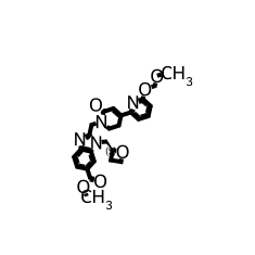 COCOc1cccc(C2=CC(=O)N(Cc3nc4ccc(C(=O)OC)cc4n3C[C@@H]3CCO3)CC2)n1